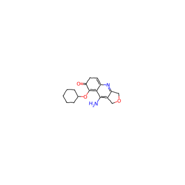 Nc1c2c(nc3c1=C(OC1CCCCC1)C(=O)CC=3)COC2